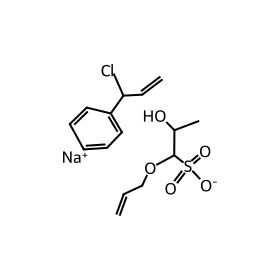 C=CC(Cl)c1ccccc1.C=CCOC(C(C)O)S(=O)(=O)[O-].[Na+]